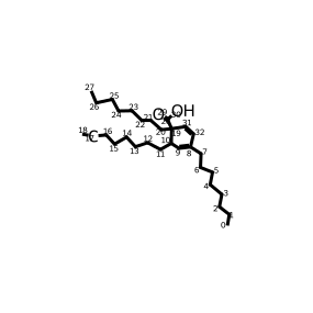 CCCCCCCCC1=CC(CCCCCCCC)C(CCCCCCCC)(C(=O)O)C=C1